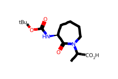 CC(C(=O)O)N1CCCC[C@H](NC(=O)OC(C)(C)C)C1=O